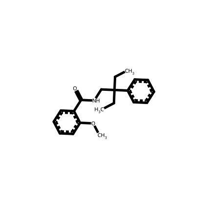 CCC(CC)(CNC(=O)c1ccccc1OC)c1ccccc1